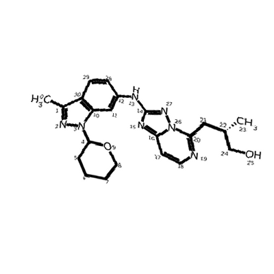 Cc1nn(C2CCCCO2)c2cc(Nc3nc4ccnc(C[C@H](C)CO)n4n3)ccc12